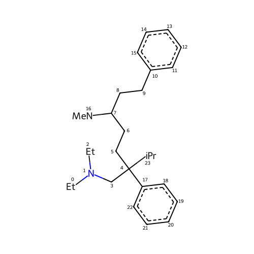 CCN(CC)CC(CCC(CCc1ccccc1)NC)(c1ccccc1)C(C)C